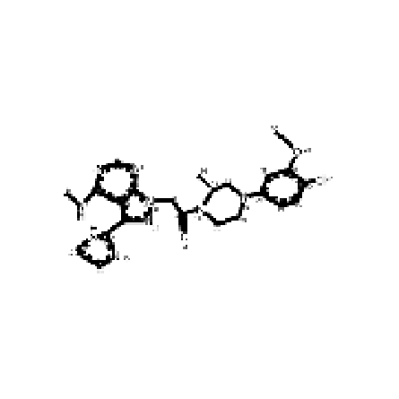 CNc1ncnc2c1c(-c1ncc[nH]1)nn2CC(=O)N1CCN(c2ccc(Cl)c(OC)c2)C[C@@H]1C